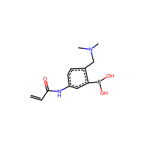 C=CC(=O)Nc1ccc(CN(C)C)c(B(O)O)c1